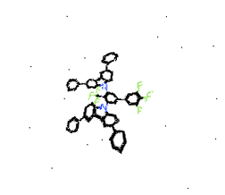 Fc1cc(-c2cc(-n3c4ccc(-c5ccccc5)cc4c4cc(-c5ccccc5)ccc43)c(C(F)(F)F)c(-n3c4ccc(-c5ccccc5)cc4c4cc(-c5ccccc5)ccc43)c2)cc(F)c1F